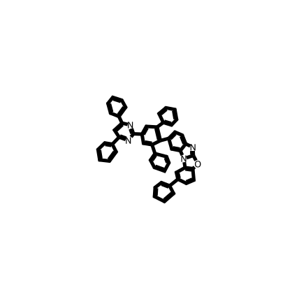 c1ccc(-c2ccc3oc4nc5ccc(-c6c(-c7ccccc7)cc(-c7nc(-c8ccccc8)cc(-c8ccccc8)n7)cc6-c6ccccc6)cc5n4c3c2)cc1